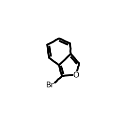 Brc1occ2ccccc12